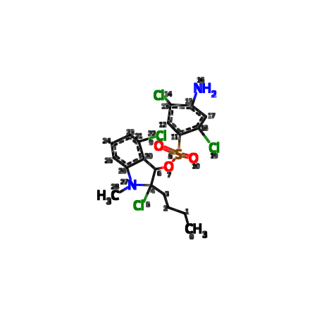 CCCCC1(Cl)C(OS(=O)(=O)c2cc(Cl)c(N)cc2Cl)c2c(Cl)cccc2N1C